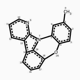 Cc1ccc2c(c1)-n1c3ncccc3c3cccc(c31)O2